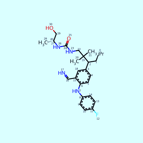 CC(C)CC(c1ccc(Nc2ccc(F)cc2)c(C=N)c1)C(C)(C)CNC(=O)N[C@H](C)CO